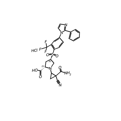 Cl.N#CC1(C(N)=O)CC1N1C[C@H](S(=O)(=O)c2ccc(-n3ccnc3-c3ccccc3)cc2C(F)(F)F)C[C@H]1C(=O)O